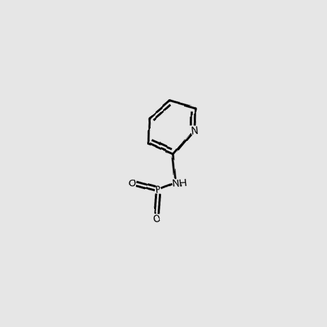 O=P(=O)Nc1ccccn1